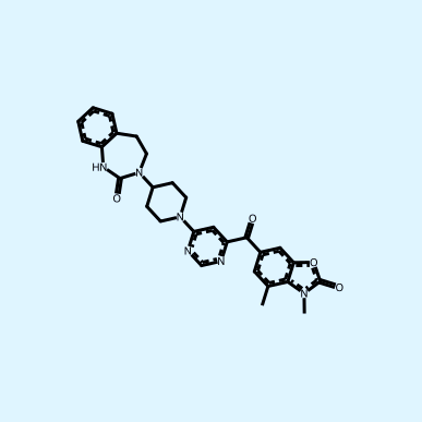 Cc1cc(C(=O)c2cc(N3CCC(N4CCc5ccccc5NC4=O)CC3)ncn2)cc2oc(=O)n(C)c12